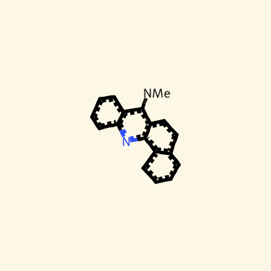 CNc1c2ccccc2nc2c1ccc1ccccc12